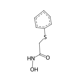 O=C(CSc1ccccc1)NO